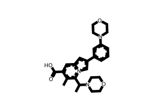 Cc1c(C(=O)O)cc2cc(-c3cccc(N4CCOCC4)c3)cn2c1C(C)N1CCOCC1